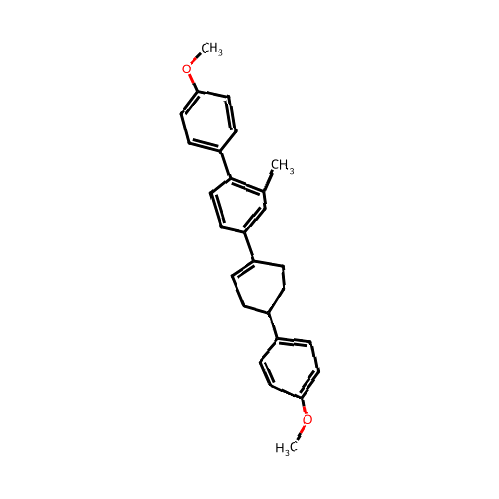 COc1ccc(-c2ccc(C3=CCC(c4ccc(OC)cc4)CC3)cc2C)cc1